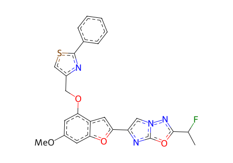 COc1cc(OCc2csc(-c3ccccc3)n2)c2cc(-c3cn4nc(C(C)F)oc4n3)oc2c1